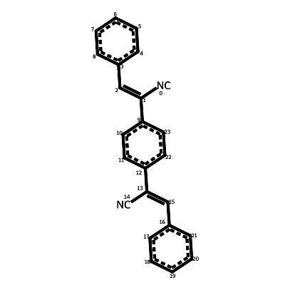 [C-]#[N+]/C(=C\c1ccccc1)c1ccc(/C(C#N)=C/c2ccccc2)cc1